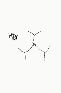 Br.CC(C)N(C(C)C)C(C)C